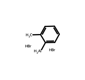 Br.Br.Cc1cccc[c]1[AlH2]